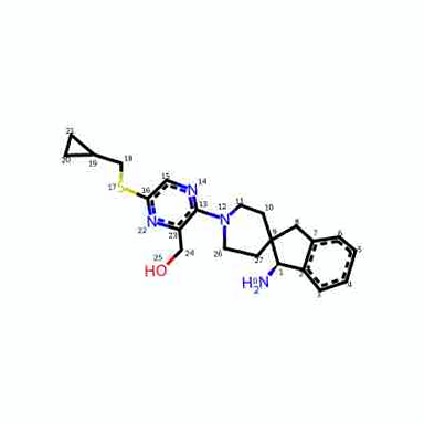 N[C@@H]1c2ccccc2CC12CCN(c1ncc(SCC3CC3)nc1CO)CC2